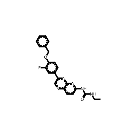 CCNC(=O)Nc1ccc2ncc(-c3ccc(OCc4ccccc4)c(F)c3)nc2n1